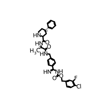 C[C@H](NC(=O)C1C[C@@H](c2ccccc2)CCN1)C(=O)NCc1ccc(C(=N)NC(=O)OCc2ccc(Cl)c(F)c2)cc1